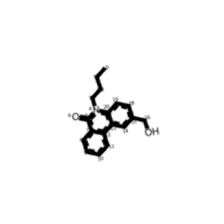 CCCCn1c(=O)c2ccccc2c2cc(CO)ccc21